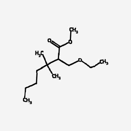 CCCCC(C)(C)C(COCC)C(=O)OC